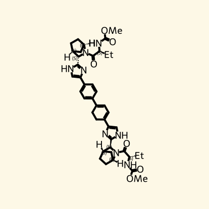 CC[C@H](NC(=O)OC)C(=O)N1[C@@H]2CC[C@@H](C2)[C@H]1c1nc(C2=CC=C(c3ccc(-c4c[nH]c([C@@H]5[C@H]6CC[C@H](C6)N5C(=O)[C@H](CC)NC(=O)OC)n4)cc3)CC2)c[nH]1